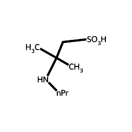 CCCNC(C)(C)CS(=O)(=O)O